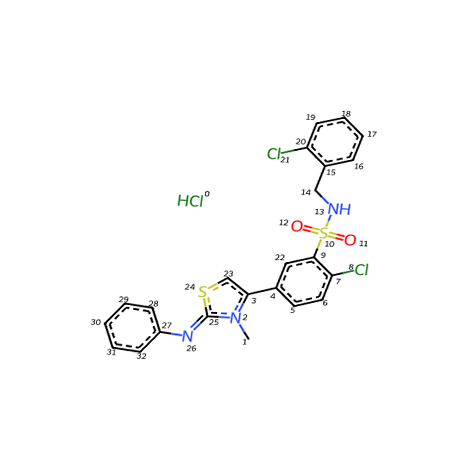 Cl.Cn1c(-c2ccc(Cl)c(S(=O)(=O)NCc3ccccc3Cl)c2)csc1=Nc1ccccc1